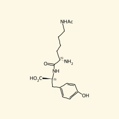 CC(=O)NCCCC[C@H](N)C(=O)N[C@@H](Cc1ccc(O)cc1)C(=O)O